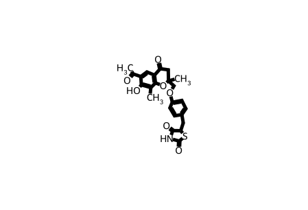 CC(=O)c1cc2c(c(C)c1O)OC(C)(COc1ccc(CC3SC(=O)NC3=O)cc1)CC2=O